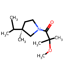 COC(C)(C)C(=O)N1CC[C@](C)(C(C)C)C1